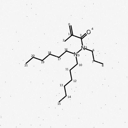 C=C(C)C(=O)N(CCC)N(CCCCCC)CCCCCC